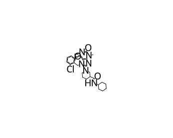 Cn1c(=O)c2c(nc(N3CCCC(C(=O)NC4CCCCC4)C3)n2Cc2c(F)cccc2Cl)n(C)c1=O